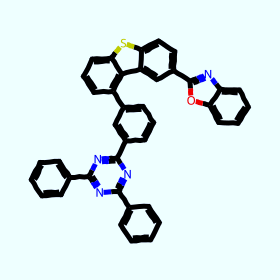 c1ccc(-c2nc(-c3ccccc3)nc(-c3cccc(-c4cccc5sc6ccc(-c7nc8ccccc8o7)cc6c45)c3)n2)cc1